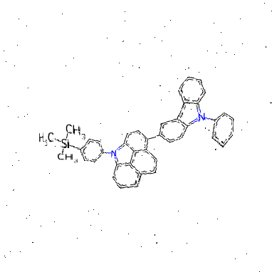 C[Si](C)(C)c1ccc(-n2c3cccc4ccc5c(-c6ccc7c(c6)c6ccccc6n7-c6ccccc6)ccc2c5c43)cc1